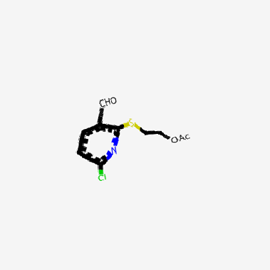 CC(=O)OCCSc1nc(Cl)ccc1C=O